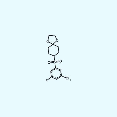 O=S(=O)(c1cc(F)cc(C(F)(F)F)c1)C1CCC2(CC1)OCCO2